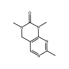 Cc1ncc2c(n1)N(C)C(=O)N(C)C2